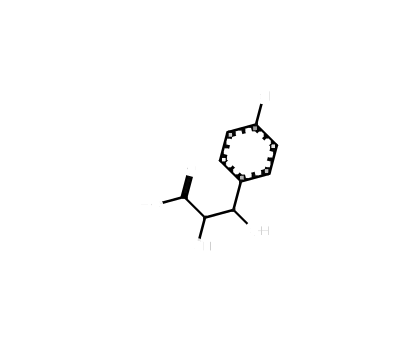 CC(C(=O)O)C(O)c1ccc(Cl)cc1